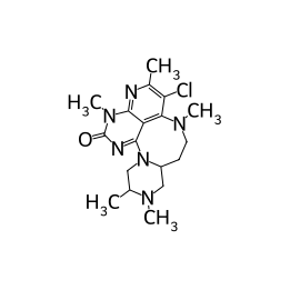 Cc1nc2c3c(nc(=O)n2C)N2CC(C)N(C)CC2CCN(C)c3c1Cl